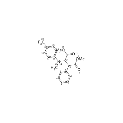 COC(=O)C(c1ccccc1)C(C(=O)OC)N(C)c1ccc(C(F)(F)F)cc1